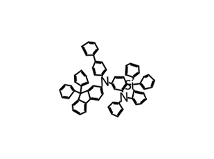 c1ccc(-c2ccc(N(c3ccc4c(c3)N(c3ccccc3)c3ccccc3[Si]4(c3ccccc3)c3ccccc3)c3ccc4c(c3)C(c3ccccc3)(c3ccccc3)c3ccccc3-4)cc2)cc1